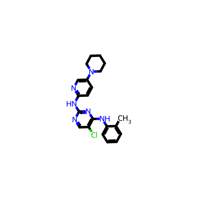 Cc1ccccc1Nc1nc(Nc2ccc(N3CCCCC3)cn2)ncc1Cl